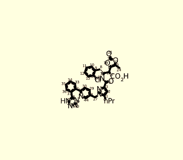 CCCc1cc(C(=O)N[C@H](Cc2ccccc2Cl)C(C(=O)O)c2oc(=O)oc2C)nn1Cc1ccc(-c2ccccc2-c2nnn[nH]2)nc1